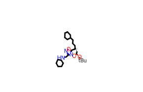 CC(C)(C)OC(=O)C[C@@H](CCCC1CCCCC1)c1nc(CNC2CCCCC2)no1